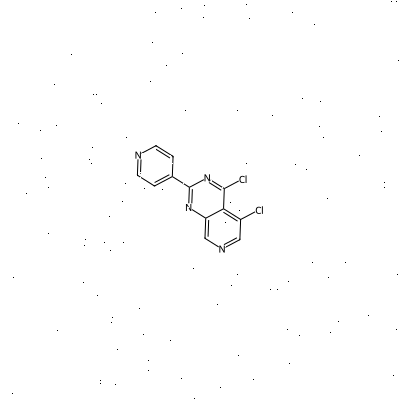 Clc1cncc2nc(-c3ccncc3)nc(Cl)c12